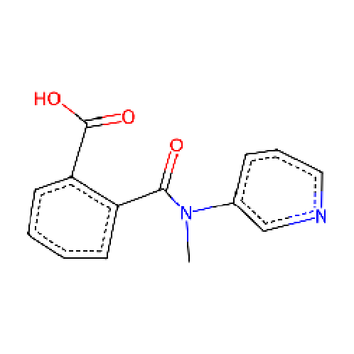 CN(C(=O)c1ccccc1C(=O)O)c1cccnc1